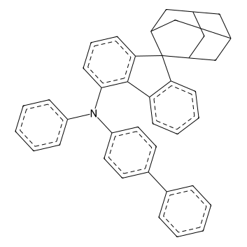 c1ccc(-c2ccc(N(c3ccccc3)c3cccc4c3-c3ccccc3C43C4CC5CC(C4)CC3C5)cc2)cc1